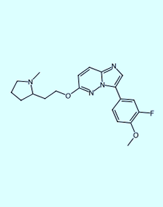 COc1ccc(-c2cnc3ccc(OCCC4CCCN4C)nn23)cc1F